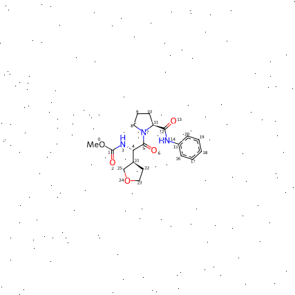 COC(=O)N[C@H](C(=O)N1CCC[C@H]1C(=O)Nc1ccccc1)[C@H]1CCOC1